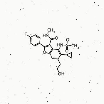 CNC(=O)c1c(-c2ccc(F)cc2)oc2cc(CCO)c(C3CC3)c(NS(C)(=O)=O)c12